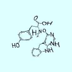 NC(Cc1ccc(O)cc1)C(=O)O.O=c1nc[nH]c2c1Cc1ccccc1N2